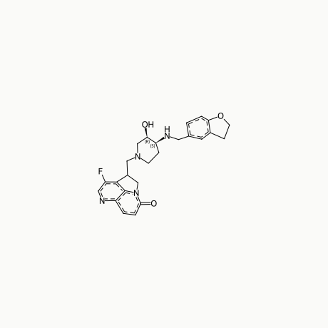 O=c1ccc2ncc(F)c3c2n1CC3CN1CC[C@H](NCc2ccc3c(c2)CCO3)[C@H](O)C1